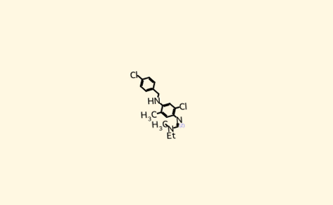 CCN(C)/C=N\c1cc(C)c(NCc2ccc(Cl)cc2)cc1Cl